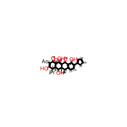 CC(=O)C1=C(O)C(C(C)C)[C@@]2(C)[C@H](O)[C@]3(C)C(=C(O)[C@@]2(O)C1=O)C(=O)c1c(ccc(C2=CC=CC2)c1O)[C@H]3C